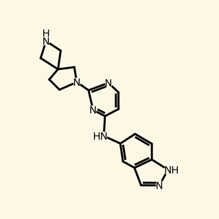 c1cc(Nc2ccc3[nH]ncc3c2)nc(N2CCC3(CNC3)C2)n1